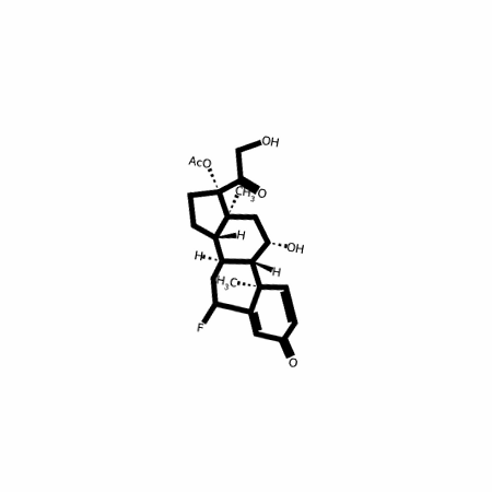 CC(=O)O[C@@]1(C(=O)CO)CC[C@H]2[C@@H]3CC(F)C4=CC(=O)C=C[C@]4(C)[C@H]3[C@@H](O)C[C@@]21C